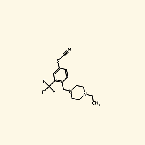 CCN1CCN(Cc2ccc(SC#N)cc2C(F)(F)F)CC1